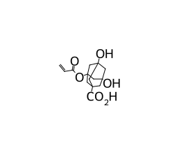 C=CC(=O)OC12CC3(O)CC(O)(C1)CC(C(=O)O)(C3)C2